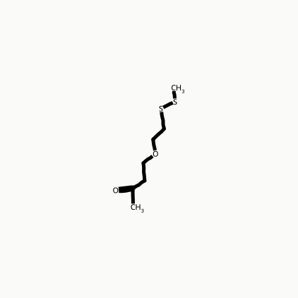 CSSCCOCCC(C)=O